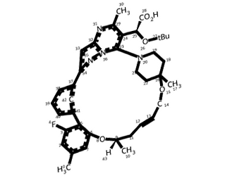 Cc1cc(F)c2c(c1)O[C@@H](C)C/C=C/COC1(C)CCN(CC1)c1c([C@H](OC(C)(C)C)C(=O)O)c(C)nc3cc(nn13)-c1cccc-2c1